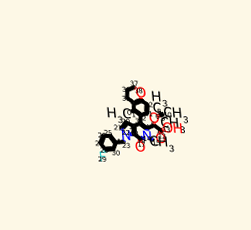 Cc1c(-c2c(C(OC(C)(C)C)C(=O)O)n(C)c(=O)c3c2ccn3Cc2cccc(F)c2)ccc2c1CCCO2